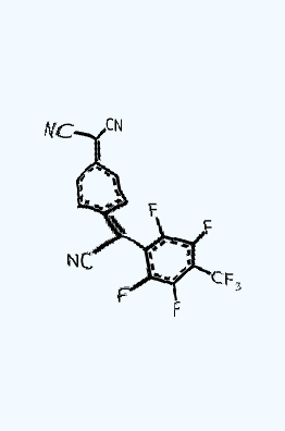 N#CC(C#N)=c1ccc(=C(C#N)c2c(F)c(F)c(C(F)(F)F)c(F)c2F)cc1